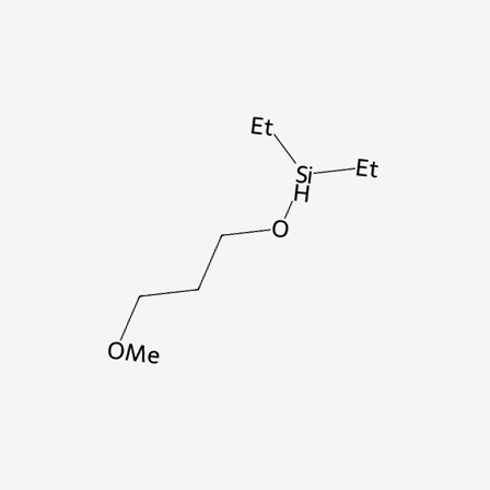 CC[SiH](CC)OCCCOC